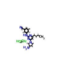 CCCCc1cc(N2CC[C@H](N)C2)nc(Nc2cccc(C#N)c2)n1.Cl.Cl